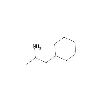 CC(N)C[C]1CCCCC1